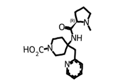 CN1CCC[C@@H]1C(=O)NC1(Cc2ccccn2)CCN(C(=O)O)CC1